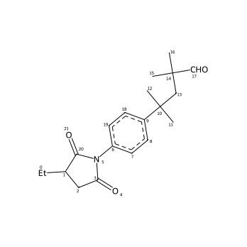 CCC1CC(=O)N(c2ccc(C(C)(C)CC(C)(C)C=O)cc2)C1=O